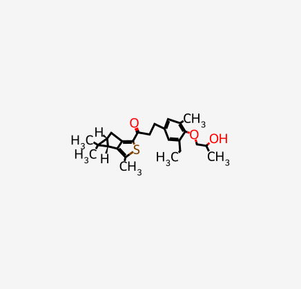 CCc1cc(CCC(=O)c2sc(C)c3c2C[C@@H]2[C@H]3C2(C)C)cc(C)c1OCC(C)O